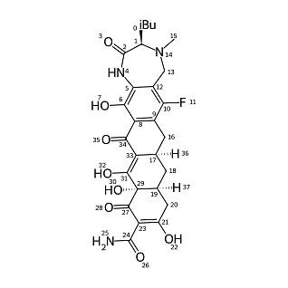 CCC(C)[C@@H]1C(=O)Nc2c(O)c3c(c(F)c2CN1C)C[C@H]1C[C@H]2CC(O)=C(C(N)=O)C(=O)[C@@]2(O)C(O)=C1C3=O